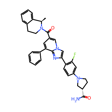 C[C@@H]1c2ccccc2CCN1C(=O)c1cc(-c2ccccc2)c2nc(-c3ccc(N4CC[C@H](C(N)=O)C4)cc3F)cn2c1